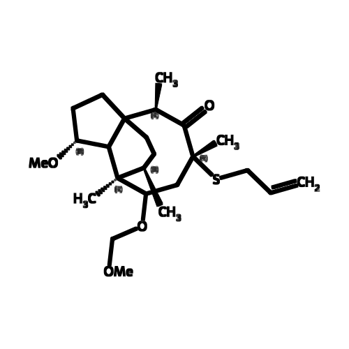 C=CCS[C@]1(C)CC(OCOC)[C@@]2(C)C3[C@H](OC)CCC3(CC[C@H]2C)[C@@H](C)C1=O